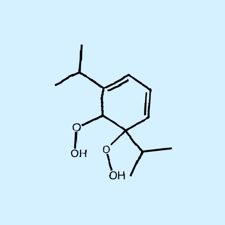 CC(C)C1=CC=CC(OO)(C(C)C)C1OO